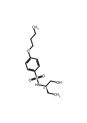 CCCCOc1ccc(S(=O)(=O)N[C@H](CC)CO)cc1